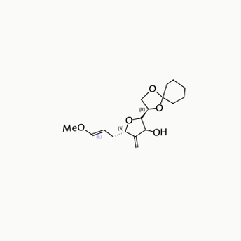 C=C1C(O)C([C@H]2COC3(CCCCC3)O2)O[C@H]1C/C=C/OC